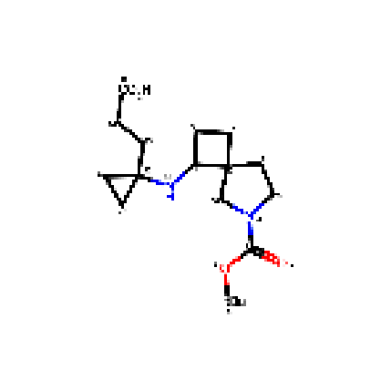 CC(C)(C)OC(=O)N1CC[C@@]2(CCC2NC2(CCC(=O)O)CC2)C1